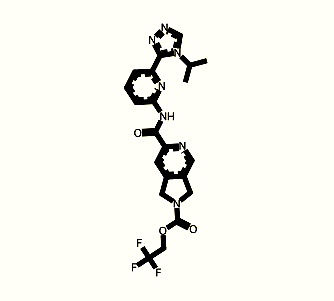 CC(C)n1cnnc1-c1cccc(NC(=O)c2cc3c(cn2)CN(C(=O)OCC(F)(F)F)C3)n1